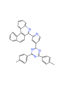 Cc1ccc(-c2nc(-c3ccc(C)cc3)nc(-c3ccnc(-c4nc5ccccc5c5c4ccc4ccccc45)c3)n2)cc1